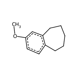 COc1ccc2c(c1)CCCCC2